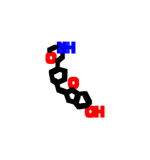 O=C1C(=Cc2ccc(C3CNCCO3)cc2)Cc2cc(O)ccc21